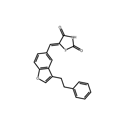 O=C1NC(=O)C(=Cc2ccc3occ(CCc4ccccc4)c3c2)S1